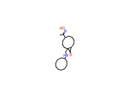 C/C(=N\O)C1CCCCC2C(=O)C2(CNC2CCCCCCCCC2)CCC1